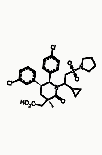 C[C@]1(CC(=O)O)C[C@H](c2cccc(Cl)c2)[C@@H](c2ccc(Cl)cc2)N(C(CS(=O)(=O)N2CCCC2)C2CC2)C1=O